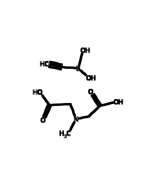 C#CB(O)O.CN(CC(=O)O)CC(=O)O